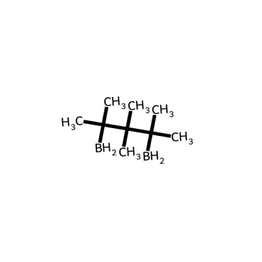 BC(C)(C)C(C)(C)C(B)(C)C